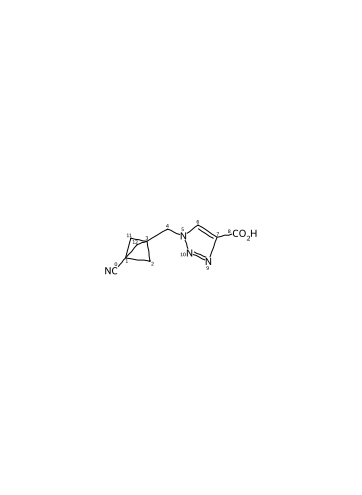 N#CC12CC(Cn3cc(C(=O)O)nn3)(C1)C2